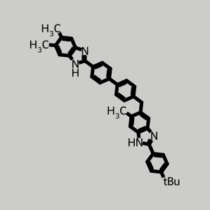 Cc1cc2nc(-c3ccc(-c4ccc(Cc5cc6nc(-c7ccc(C(C)(C)C)cc7)[nH]c6cc5C)cc4)cc3)[nH]c2cc1C